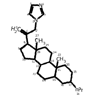 C=C(Cn1ccnc1)C1CCC2C3CCC4CC(CCC)CCC4(C)C3CCC12C